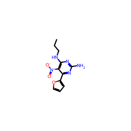 CCCNc1nc(N)nc(-c2ccco2)c1[N+](=O)[O-]